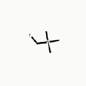 CS(C)(C)CF